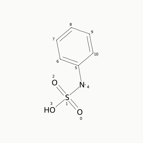 O=S(=O)(O)[N]c1ccccc1